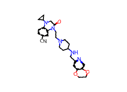 N#Cc1ccc2c(c1)N(CCN1CCC(NCc3cc4c(cn3)OCCO4)CC1)C(=O)CN2C1CC1